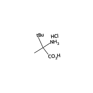 CC(C)(C)C(C)(N)C(=O)O.Cl